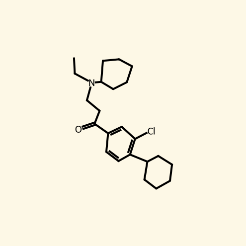 CCN(CCC(=O)c1ccc(C2CCCCC2)c(Cl)c1)C1CCCCC1